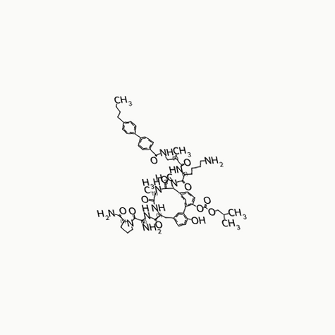 CCCCc1ccc(-c2ccc(C(=O)NC[C@@H](C)C(=O)N[C@@H](CCCCN)C(=O)N(C)C3C(=O)N[C@@H](C)C(=O)N[C@H](C(=O)N[C@@H](N)C(=O)N4CCC[C@H]4C(N)=O)Cc4ccc(O)c(c4)-c4cc3ccc4OC(=O)OCC(C)C)cc2)cc1